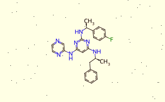 C[C@H](Nc1nc(Nc2cnccn2)cc(N[C@@H](C)Cc2ccccc2)n1)c1ccc(F)cc1